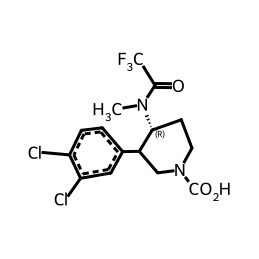 CN(C(=O)C(F)(F)F)[C@@H]1CCN(C(=O)O)CC1c1ccc(Cl)c(Cl)c1